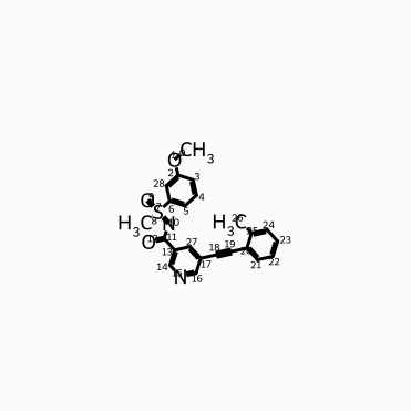 COc1cccc(S(C)(=O)=NC(=O)c2cncc(C#Cc3ccccc3C)c2)c1